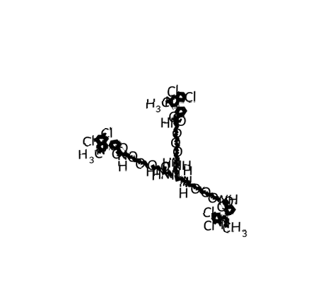 CN1Cc2c(Cl)cc(Cl)cc2[C@H](c2cccc(S(=O)(=O)NCCOCCOCCOCCNNCCN(CCNNCCOCCOCCOCCNS(=O)(=O)c3cccc([C@@H]4CN(C)Cc5c(Cl)cc(Cl)cc54)c3)CCNC(=O)NCCOCCOCCOCCNS(=O)(=O)c3cccc([C@@H]4CN(C)Cc5c(Cl)cc(Cl)cc54)c3)c2)C1